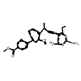 CCc1nc(N)nc(N)c1C#CC(C)c1ccc(-c2ccc(C(=O)OC)cc2)cc1OC